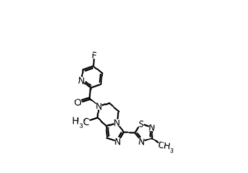 Cc1nsc(-c2ncc3n2CCN(C(=O)c2ccc(F)cn2)C3C)n1